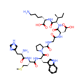 CC[C@H](C)[C@H](NC(=O)[C@H](CC(=O)O)NC(=O)CNC(=O)[C@@H]1CCCN1C(=O)[C@H](Cc1c[nH]c2ccccc12)NC(=O)[C@H](CCSC)NC(=O)[C@@H](N)Cc1c[nH]cn1)C(=O)N[C@@H](CCCCN)C(=O)O